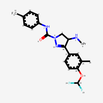 CCCNC1CN(C(=O)Nc2ccc(C(F)(F)F)cc2)N=C1c1ccc(OC(F)F)c(C)c1